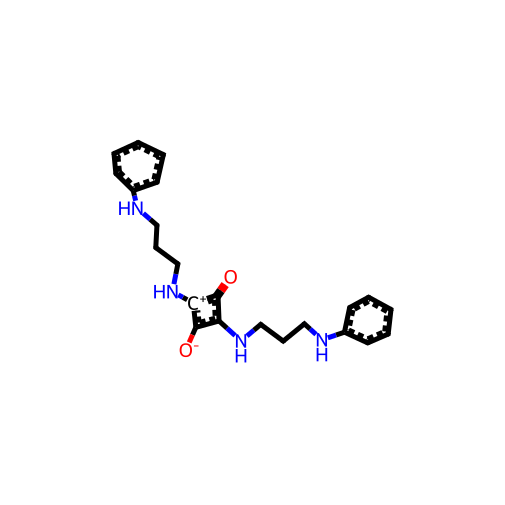 O=c1c(NCCCNc2ccccc2)c([O-])[c+]1NCCCNc1ccccc1